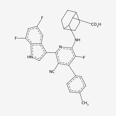 Cc1ccc(-c2c(F)c(NC3C4CCC(CC4)C3C(=O)O)nc(-c3c[nH]c4c(F)cc(F)cc34)c2C#N)cc1